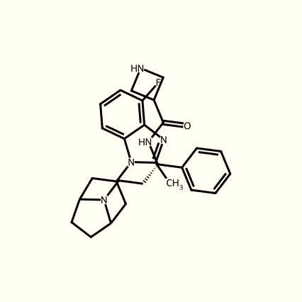 Cc1nc2c(F)cccc2n1C1CC2CCC(C1)N2CC[C@H](NC(=O)C1CNC1)c1ccccc1